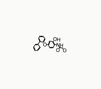 O=CC(=O)Nc1ccc(Oc2ccccc2-c2ccccc2)cc1O